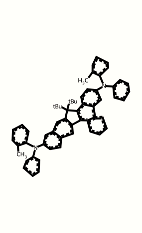 Cc1ccccc1N(c1ccccc1)c1ccc2cc3c(cc2c1)C(C(C)(C)C)(C(C)(C)C)c1c-3c2ccccc2c2cc(N(c3ccccc3)c3ccccc3C)ccc12